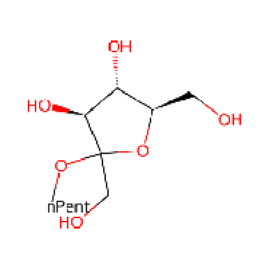 CCCCCOC1(CO)O[C@H](CO)[C@@H](O)[C@@H]1O